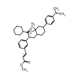 COC(=O)/C=C/c1cccc(N(CC2CCC(c3ccc(N(C)C)cc3)CC2(C)C)C(=O)C2CCCCC2)c1